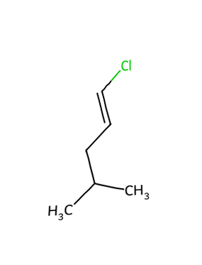 CC(C)CC=CCl